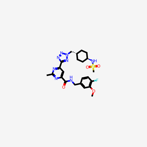 COc1cc(CNC(=O)c2cc(-c3nnn(C[C@H]4CC[C@H](NS(C)(=O)=O)CC4)n3)nc(C)n2)ccc1F